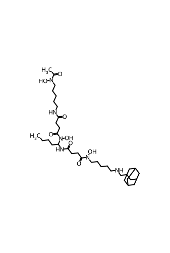 CCCCC(NC(=O)CCC(=O)N(O)CCCCCNCC12CC3CC(CC(C3)C1)C2)N(O)C(=O)CCC(=O)NCCCCCN(O)C(C)=O